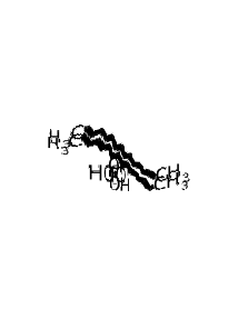 CCCCCCCCCCCCCCCC.CCCCCCCCCCCCCCCC.O=P(O)(O)O